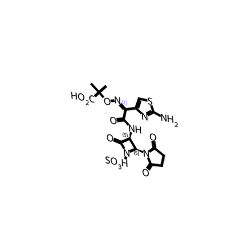 CC(C)(O/N=C(\C(=O)N[C@@H]1C(=O)N(S(=O)(=O)O)[C@@H]1N1C(=O)CCC1=O)c1csc(N)n1)C(=O)O